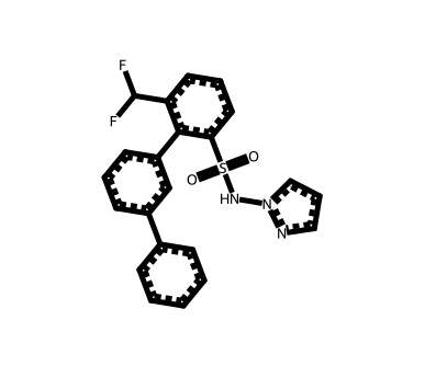 O=S(=O)(Nn1cccn1)c1cccc(C(F)F)c1-c1cccc(-c2ccccc2)c1